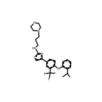 CC(C)c1ccccc1Sc1ccc(-c2csc(NCCCN3CCOCC3)n2)cc1C(F)(F)F